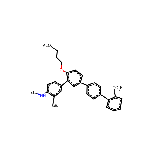 CCNc1ccc(-c2cc(-c3ccc(-c4ccccc4C(=O)OCC)cc3)ccc2OCCCOC(C)=O)cc1C(C)(C)C